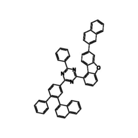 c1ccc(-c2nc(-c3ccc(-c4ccccc4)c(-c4cccc5ccccc45)c3)nc(-c3cccc4oc5cc(-c6ccc7ccccc7c6)ccc5c34)n2)cc1